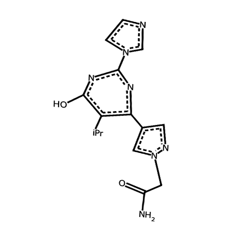 CC(C)c1c(O)nc(-n2ccnc2)nc1-c1cnn(CC(N)=O)c1